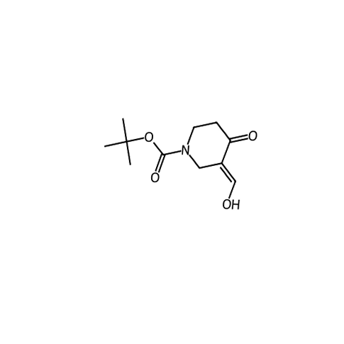 CC(C)(C)OC(=O)N1CCC(=O)C(=CO)C1